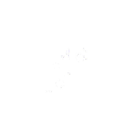 CCCCCc1ccc(S(=O)(=O)NCCc2c(-c3cccs3)n[nH]c2-c2ccnc(N3CCOCC3)c2)cc1